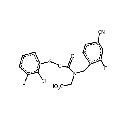 N#Cc1ccc(CN(CC(=O)O)C(=O)CSc2cccc(F)c2Cl)c(F)c1